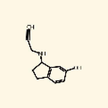 C#CCN[C@@H]1CCc2ccc(O)cc21